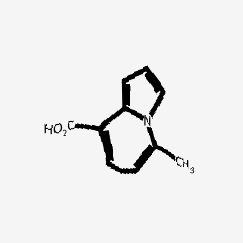 Cc1ccc(C(=O)O)c2cccn12